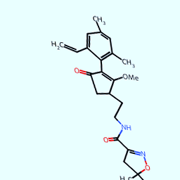 C=Cc1cc(C)cc(C)c1C1=C(OC)C(CCNC(=O)C2=NOC(C)(C)C2)CC1=O